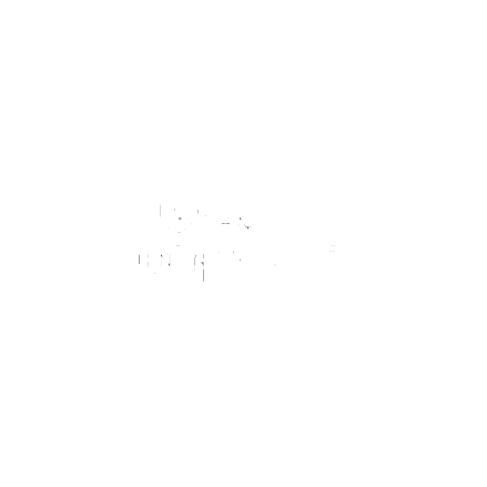 NC(=O)Nc1sc(-c2ccc(F)cc2)nc1C(=O)O